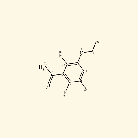 CCOc1cc(C)c(F)c(C(N)=O)c1F